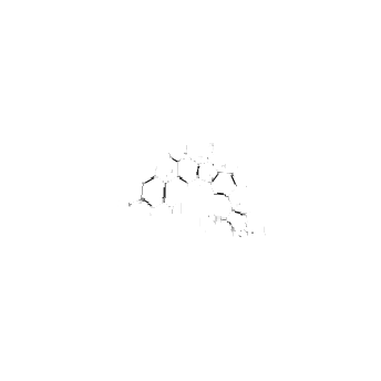 Cn1c(=O)c(-c2ccc(Cl)cc2Cl)cc2c3cc(-c4c[nH]nc4N)ccc3n(C)c21